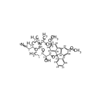 CC[C@H](OP(OCCC#N)N(C(C)C)C(C)C)[C@H](O)COC(c1ccccc1)(c1ccc(OC)cc1)c1ccc(OC)cc1